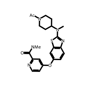 CNC(=O)c1cc(Oc2ccc3nc(N(C)C4CCN(C(C)=O)CC4)sc3c2)ccn1